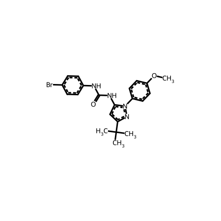 COc1ccc(-n2nc(C(C)(C)C)cc2NC(=O)Nc2ccc(Br)cc2)cc1